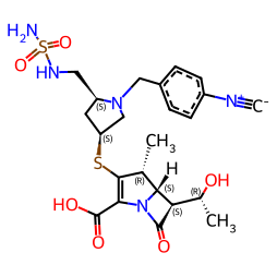 [C-]#[N+]c1ccc(CN2C[C@@H](SC3=C(C(=O)O)N4C(=O)[C@H]([C@@H](C)O)[C@H]4[C@H]3C)C[C@H]2CNS(N)(=O)=O)cc1